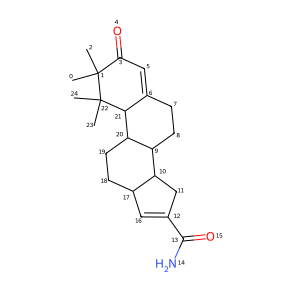 CC1(C)C(=O)C=C2CCC3C4CC(C(N)=O)=CC4CCC3C2C1(C)C